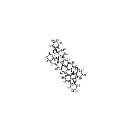 Fc1ccccc1N(c1ccc2ccc3c(N(c4ccccc4F)c4cccc5c4oc4ccccc45)ccc4ccc1c2c43)c1cccc2c1oc1ccccc12